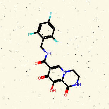 O=C(NCc1c(F)cc(F)cc1F)c1cn2c(c(O)c1=O)C(=O)NCC2